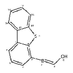 OC=Bc1cccc2c1sc1ccccc12